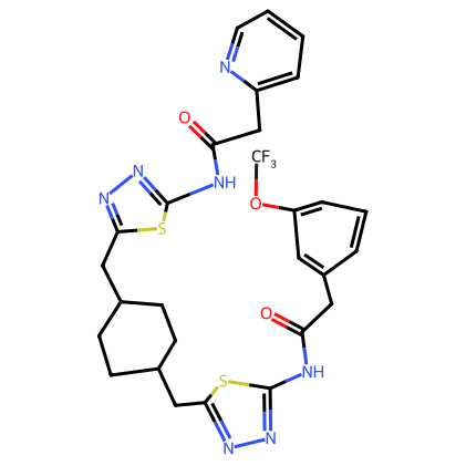 O=C(Cc1cccc(OC(F)(F)F)c1)Nc1nnc(CC2CCC(Cc3nnc(NC(=O)Cc4ccccn4)s3)CC2)s1